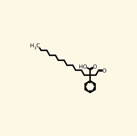 CCCCCCCCCCCCC(CC=O)(C(=O)O)c1ccccc1